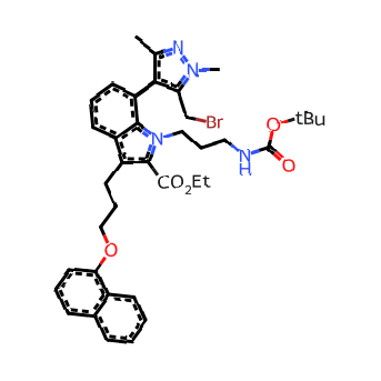 CCOC(=O)c1c(CCCOc2cccc3ccccc23)c2cccc(-c3c(C)nn(C)c3CBr)c2n1CCCNC(=O)OC(C)(C)C